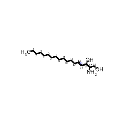 CCCCCCCCCCCCC/C=C/[C@@H](O)C(N)CO